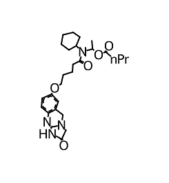 CCCC(=O)OC(C)N(C(=O)CCCCOc1ccc2c(c1)CN1CC(=O)NC1=N2)C1CCCCC1